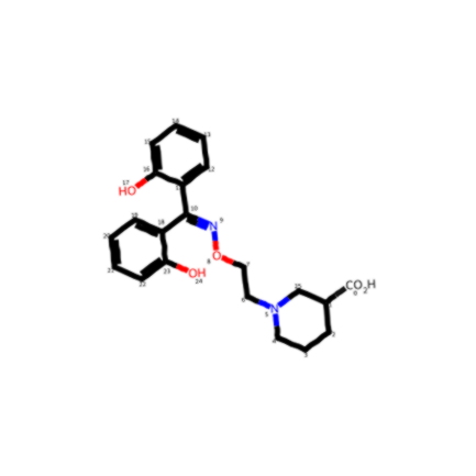 O=C(O)C1CCCN(CCON=C(c2ccccc2O)c2ccccc2O)C1